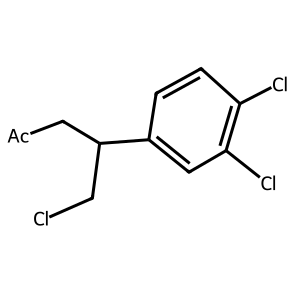 CC(=O)CC(CCl)c1ccc(Cl)c(Cl)c1